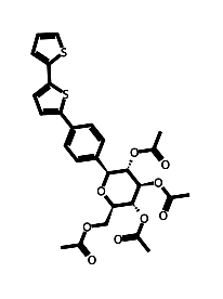 CC(=O)OC[C@H]1O[C@@H](c2ccc(-c3ccc(-c4cccs4)s3)cc2)[C@H](OC(C)=O)[C@@H](OC(C)=O)[C@@H]1OC(C)=O